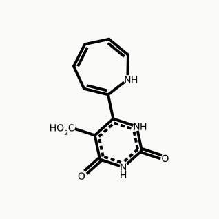 O=C(O)c1c(C2=CC=CC=CN2)[nH]c(=O)[nH]c1=O